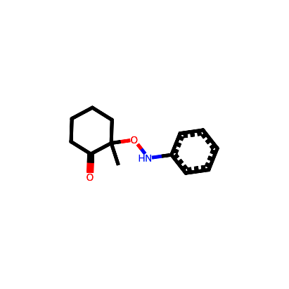 CC1(ONc2ccccc2)CCCCC1=O